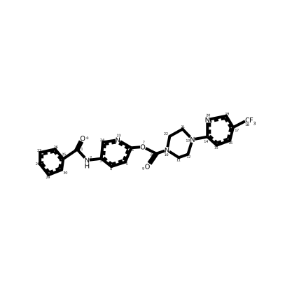 O=C(Nc1ccc(OC(=O)N2CCN(c3ccc(C(F)(F)F)cn3)CC2)nc1)c1ccccc1